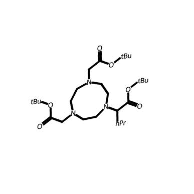 CCCC(C(=O)OC(C)(C)C)N1CCN(CC(=O)OC(C)(C)C)CCN(CC(=O)OC(C)(C)C)CC1